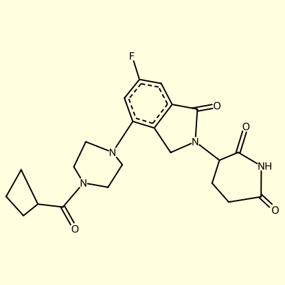 O=C1CCC(N2Cc3c(cc(F)cc3N3CCN(C(=O)C4CCC4)CC3)C2=O)C(=O)N1